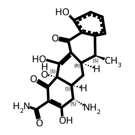 C[C@@H]1c2cccc(O)c2C(=O)C2=C(O)[C@]3(O)C(=O)C(C(N)=O)=C(O)[C@@H](N)[C@@H]3C[C@@H]21